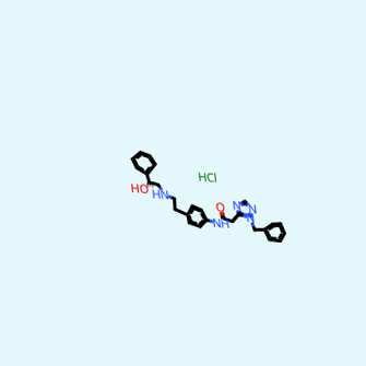 Cl.O=C(Cc1ncnn1Cc1ccccc1)Nc1ccc(CCNC[C@H](O)c2ccccc2)cc1